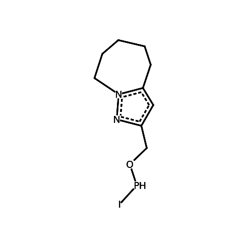 IPOCc1cc2n(n1)CCCCC2